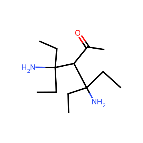 CCC(N)(CC)C(C(C)=O)C(N)(CC)CC